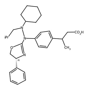 CC(C)CN(C1CCCCC1)N(C1=N[C@H](c2ccccc2)CO1)c1ccc(C(C)CC(=O)O)cc1